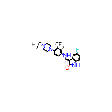 CN1CCN(c2ccc(N/C=C3/C(=O)Nc4ccc(F)cc43)cc2C(F)(F)F)CC1